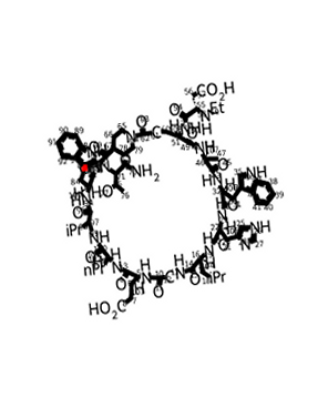 CCC[C@@H]1NC(=O)[C@H](CCC(=O)O)NC(=O)CNC(=O)[C@H](CC(C)C)NC(=O)[C@H](Cc2c[nH]cn2)NC(=O)[C@H](Cc2c[nH]c3ccccc23)NC(=O)[C@H](C)NC(=O)[C@@H](NC(=O)[C@H](CC(=O)O)NCC)CCC(=O)N2CCC(C(=O)NC(C(N)=O)C(C)O)(CC2)NC(=O)[C@H](Cc2c[nH]c3ccccc23)NC(=O)C(C(C)C)NC1=O